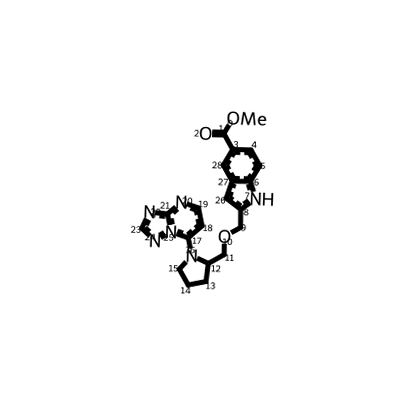 COC(=O)c1ccc2[nH]c(COCC3CCCN3c3ccnc4ncnn34)cc2c1